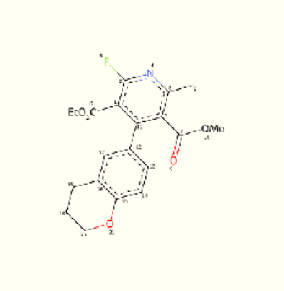 CCOC(=O)c1c(F)nc(C)c(C(=O)OC)c1-c1ccc2c(c1)CCCO2